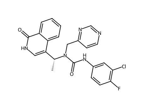 C[C@H](c1c[nH]c(=O)c2ccccc12)N(Cc1ccncn1)C(=O)Nc1ccc(F)c(Cl)c1